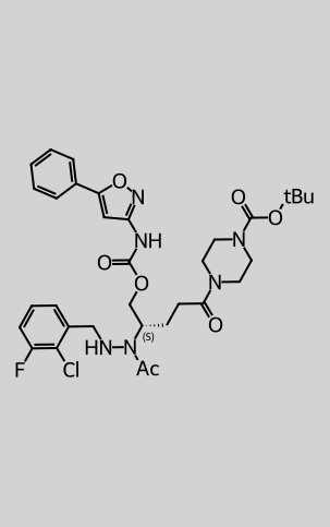 CC(=O)N(NCc1cccc(F)c1Cl)[C@@H](CCC(=O)N1CCN(C(=O)OC(C)(C)C)CC1)COC(=O)Nc1cc(-c2ccccc2)on1